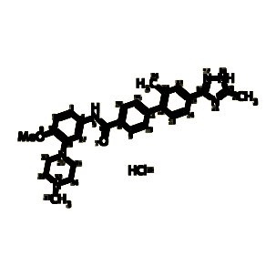 COc1ccc(NC(=O)c2ccc(-c3ccc(-c4n[nH]c(C)n4)cc3C)cc2)cc1N1CCN(C)CC1.Cl